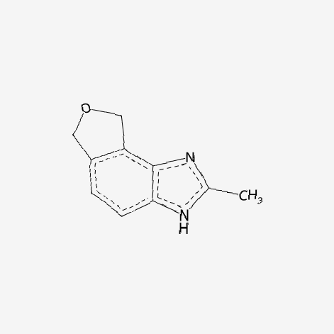 Cc1nc2c3c(ccc2[nH]1)COC3